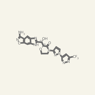 Nc1noc2cc3[nH]c([C@H](O)[C@H]4OCCN(c5ccn(-c6cnnc(C(F)(F)F)c6)n5)C4=O)nc3cc12